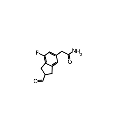 NC(=O)Cc1cc(F)c2c(c1)CC(C=O)C2